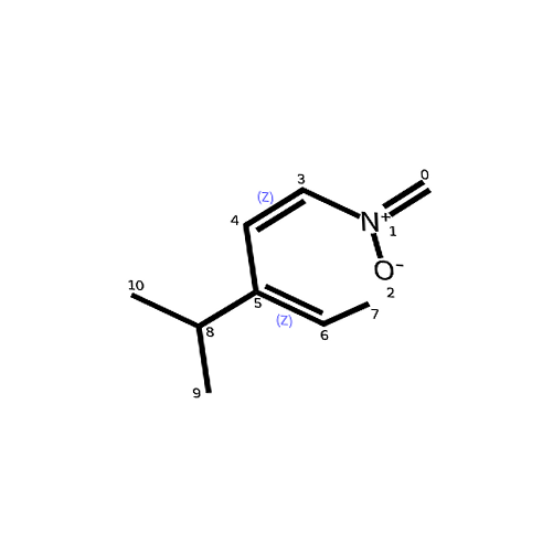 C=[N+]([O-])/C=C\C(=C/C)C(C)C